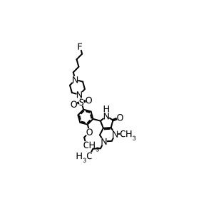 CCCN1CC2=C(C(=O)NC2c2cc(S(=O)(=O)N3CCN(CCCCF)CC3)ccc2OCC)N(C)C1